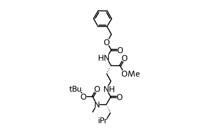 COC(=O)[C@H](CCNC(=O)[C@H](CC(C)C)N(C)C(=O)OC(C)(C)C)NC(=O)OCc1ccccc1